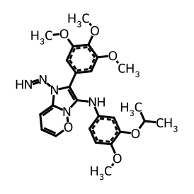 COc1ccc(NC2=C(c3cc(OC)c(OC)c(OC)c3)N(N=N)C3=CC=CON32)cc1OC(C)C